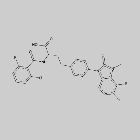 Cn1c(=O)n(-c2ccc(CC[C@H](NC(=O)c3c(F)cccc3Cl)C(=O)O)cc2)c2ccc(F)c(F)c21